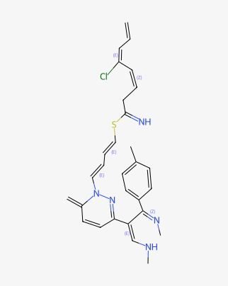 C=C/C=C(Cl)\C=C/CC(=N)S/C=C/C=C/N1N=C(C(=C/NC)/C(=N\C)c2ccc(C)cc2)C=CC1=C